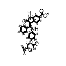 COC(=O)c1ccc2c(c1)NC(=O)C2=C(Nc1ccc(N(CC(=O)N(C)C)C(C)=O)cc1)c1ccccc1